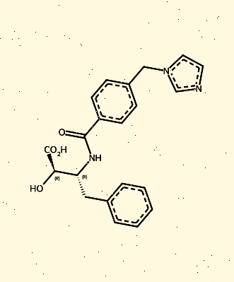 O=C(N[C@H](Cc1ccccc1)[C@@H](O)C(=O)O)c1ccc(Cn2ccnc2)cc1